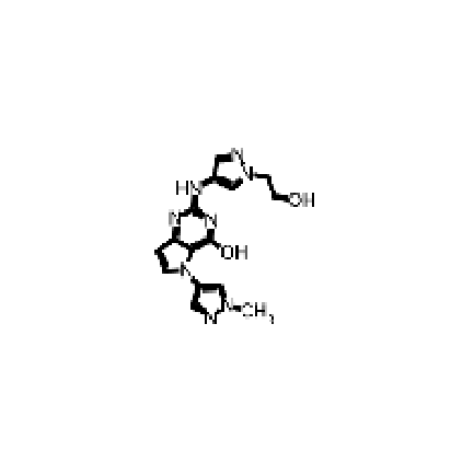 Cn1cc(-n2ccc3nc(Nc4cnn(CCO)c4)nc(O)c32)cn1